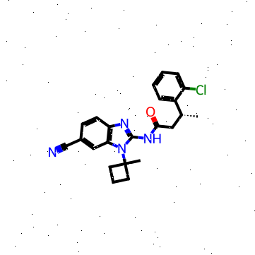 C[C@H](CC(=O)Nc1nc2ccc(C#N)cc2n1C1(C)CCC1)c1ccccc1Cl